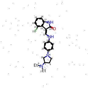 CCN(CC)C1CCN(c2ccc(NC=C3C(=O)Nc4cccc(F)c43)cc2)C1